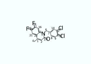 Cc1cc(=O)n(Cc2ccc(Cl)c(Cl)c2)c2cc(F)c(F)cc12